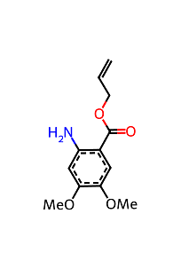 C=CCOC(=O)c1cc(OC)c(OC)cc1N